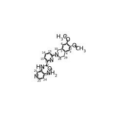 COc1cc2c(cc1OC)CN(c1cccc(C(=O)Nc3cnccc3N)n1)CC2